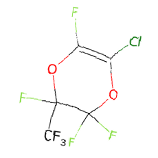 FC1=C(Cl)OC(F)(F)C(F)(C(F)(F)F)O1